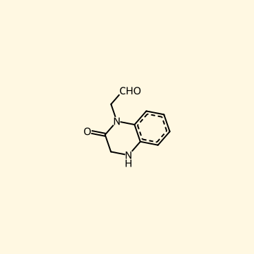 O=CCN1C(=O)CNc2ccccc21